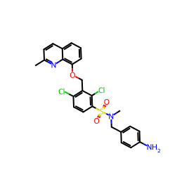 Cc1ccc2cccc(OCc3c(Cl)ccc(S(=O)(=O)N(C)Cc4ccc(N)cc4)c3Cl)c2n1